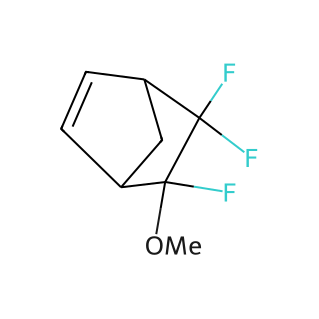 COC1(F)C2C=CC(C2)C1(F)F